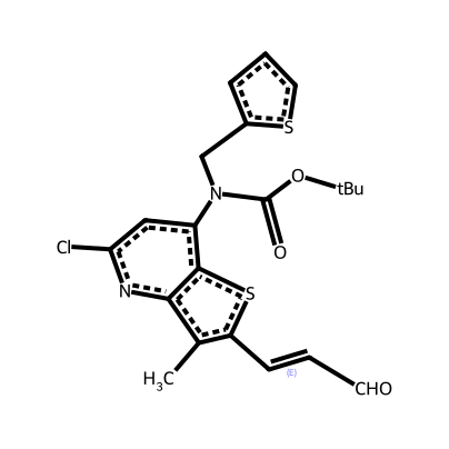 Cc1c(/C=C/C=O)sc2c(N(Cc3cccs3)C(=O)OC(C)(C)C)cc(Cl)nc12